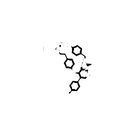 CN(C)CCc1ccc(Oc2c(-c3ccc(Cl)cc3)cnn3c(=O)n(Cc4ccc(C(F)(F)F)cc4)nc23)cc1